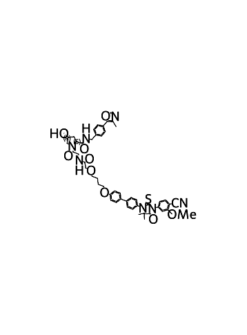 COc1cc(N2C(=O)C(C)(C)N(c3ccc(-c4ccc(OCCCCOCC(=O)NCC(=O)N5C[C@H](O)C[C@H]5C(=O)NCc5ccc(-c6ocnc6C)cc5)cc4)cc3)C2=S)ccc1C#N